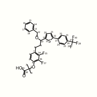 CC(C)(Oc1ccc(CCC(OCc2ccccc2)c2ccc(-c3ccc(C(F)(F)F)cc3)s2)c(F)c1F)C(=O)O